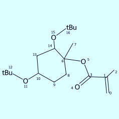 C=C(C)C(=O)OC1(C)CCC(OC(C)(C)C)CC1OC(C)(C)C